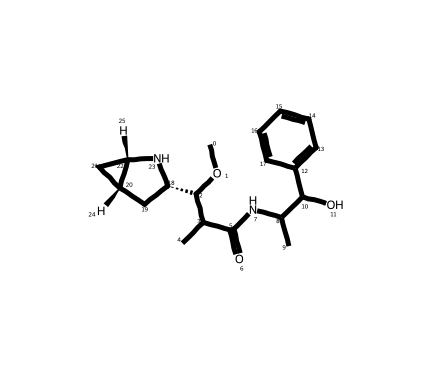 COC(C(C)C(=O)NC(C)C(O)c1ccccc1)[C@@H]1C[C@@H]2C[C@@H]2N1